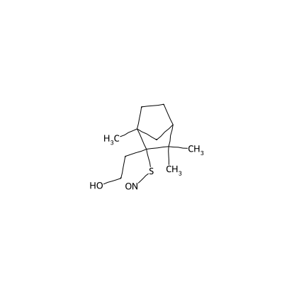 CC12CCC(C1)C(C)(C)C2(CCO)SN=O